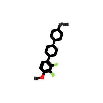 CCCCCC1CCC([C@H]2CC[C@H](c3ccc(OCC)c(F)c3F)CC2)CC1